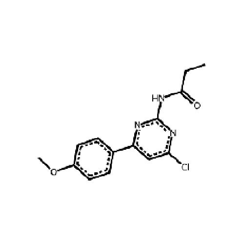 CCC(=O)Nc1nc(Cl)cc(-c2ccc(OC)cc2)n1